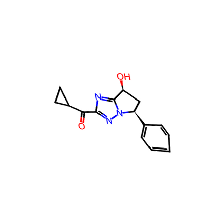 O=C(c1nc2n(n1)[C@H](c1ccccc1)C[C@@H]2O)C1CC1